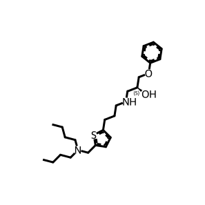 CCCCN(CCCC)Cc1ccc(CCCNC[C@H](O)COc2ccccc2)s1